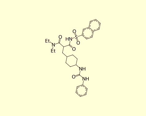 CCN(CC)C(=O)C(CC1CCC(NC(=O)Nc2ccccc2)CC1)C(=O)NS(=O)(=O)c1ccc2ccccc2c1